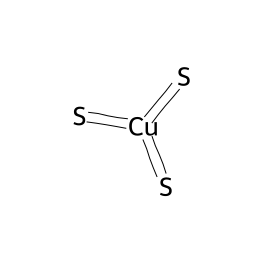 [S]=[Cu](=[S])=[S]